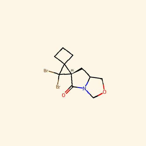 O=C1N2COCC2C[C@]12C(Br)(Br)C21CCC1